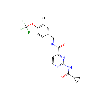 Cc1cc(CNC(=O)c2ccnc(NC(=O)C3CC3)n2)ccc1OC(F)(F)F